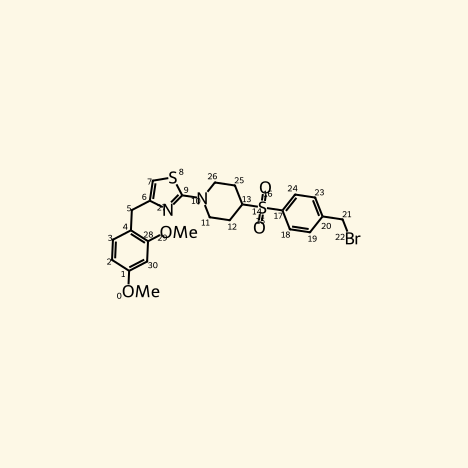 COc1ccc(Cc2csc(N3CCC(S(=O)(=O)c4ccc(CBr)cc4)CC3)n2)c(OC)c1